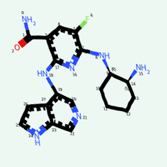 NC(=O)c1cc(F)c(N[C@@H]2CCCC[C@@H]2N)nc1Nc1cncc2[nH]ccc12